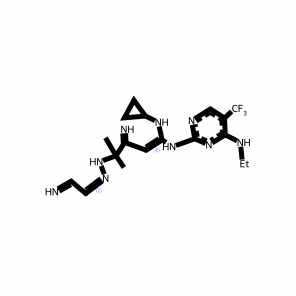 CCNc1nc(N/C(=C/C(=N)C(C)(C)N/N=C\C=N)NC2CC2)ncc1C(F)(F)F